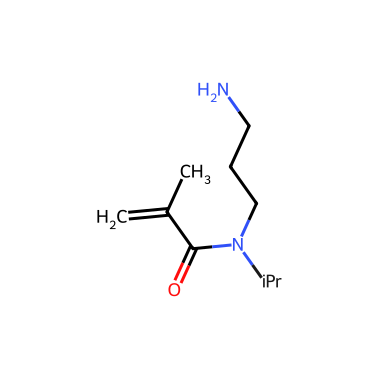 C=C(C)C(=O)N(CCCN)C(C)C